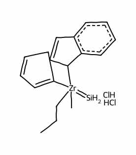 CC[CH2][Zr]([CH3])(=[SiH2])([C]1=CC=CC1)[CH]1C=Cc2ccccc21.Cl.Cl